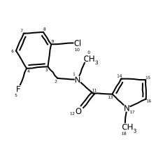 CN(Cc1c(F)cccc1Cl)C(=O)c1cccn1C